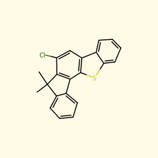 CC1(C)c2ccccc2-c2c1c(Cl)cc1c2sc2ccccc21